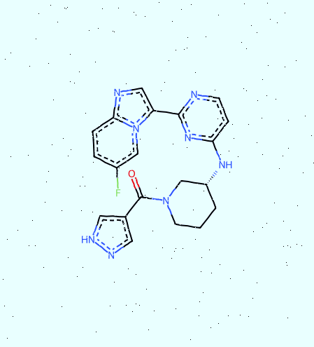 O=C(c1cn[nH]c1)N1CCC[C@@H](Nc2ccnc(-c3cnc4ccc(F)cn34)n2)C1